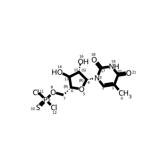 Cc1cn([C@@H]2O[C@H](COP(=S)(Cl)Cl)C(O)[C@@H]2O)c(=O)[nH]c1=O